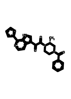 C[C@@H]1CN(C(=O)c2ccccc2)CCN1C(=O)C(=O)c1c[nH]c2c(-c3cccs3)nccc12